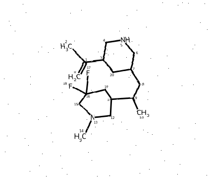 C=C(C)C1CNCC(CC(C)C2CN(C)CC(F)(F)C2)C1